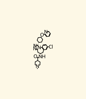 CN1CCC(C(=O)N[C@H]2Cc3cc(Cl)ccc3-n3c(nnc3[C@H]3CC[C@H](Oc4ccccn4)CC3)C2)CC1